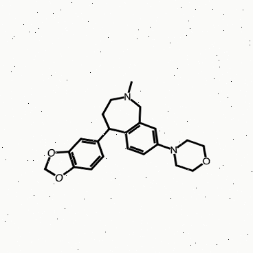 CN1CCC(c2ccc3c(c2)OCO3)c2ccc(N3CCOCC3)cc2C1